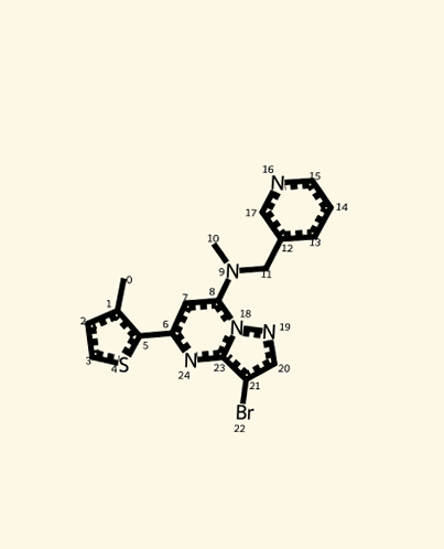 Cc1ccsc1-c1cc(N(C)Cc2cccnc2)n2ncc(Br)c2n1